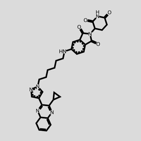 O=C1CCC(N2C(=O)c3ccc(NCCCCCCn4cc(C5=NC6CC=CC=C6N=C5C5CC5)cn4)cc3C2=O)C(=O)N1